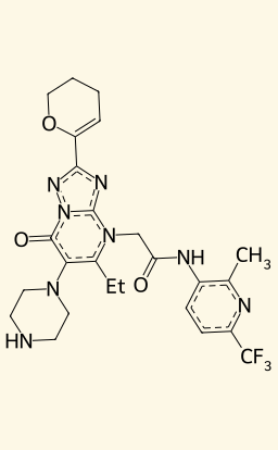 CCc1c(N2CCNCC2)c(=O)n2nc(C3=CCCCO3)nc2n1CC(=O)Nc1ccc(C(F)(F)F)nc1C